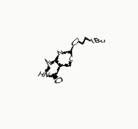 CC(C)(C)CCOc1ccc2c(=O)[nH]cnc2n1